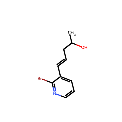 CC(O)CC=Cc1cccnc1Br